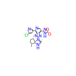 C[C@@H]1CNCCN1c1nc2c(-c3noc(=O)[nH]3)cnc(-c3cncc(Cl)c3)c2n1C[C@H]1CC[C@H](C)CC1